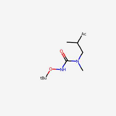 CC(=O)C(C)CN(C)C(=O)NOC(C)(C)C